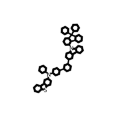 c1ccc(N(c2ccc(-c3cccc(-c4ccc5c(c4)c4ccccc4n5-c4cccc5c4-c4ccccc4C5(c4ccccc4)c4ccccc4)c3)cc2)c2ccc3sc4ccccc4c3c2)cc1